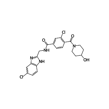 O=C(NCc1nc2cc(Cl)ccc2[nH]1)c1ccc(C(=O)N2CCC(O)CC2)c(Cl)c1